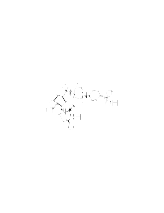 O=C1CCN(c2cc(C(=O)N3CCN(C4CCC(C(=O)O)CC4)CC3)ccc2Cl)C(=O)N1